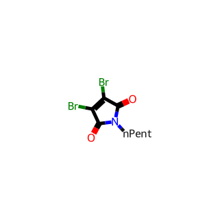 CCCCCN1C(=O)C(Br)=C(Br)C1=O